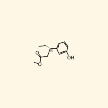 CC[C@@H](CC(=O)OC)c1cccc(O)c1